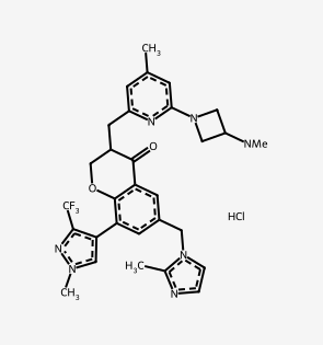 CNC1CN(c2cc(C)cc(CC3COc4c(cc(Cn5ccnc5C)cc4-c4cn(C)nc4C(F)(F)F)C3=O)n2)C1.Cl